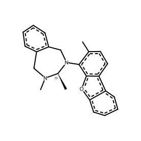 Cc1ccc2c(oc3ccccc32)c1N1Cc2ccccc2CN(C)[C@@H]1C